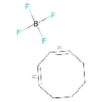 C1=C\CCCC\C=C/1.F[B-](F)(F)F